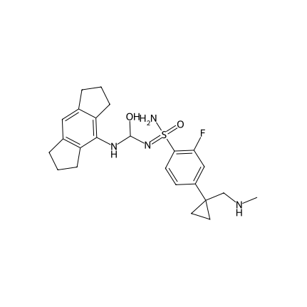 CNCC1(c2ccc(S(N)(=O)=NC(O)Nc3c4c(cc5c3CCC5)CCC4)c(F)c2)CC1